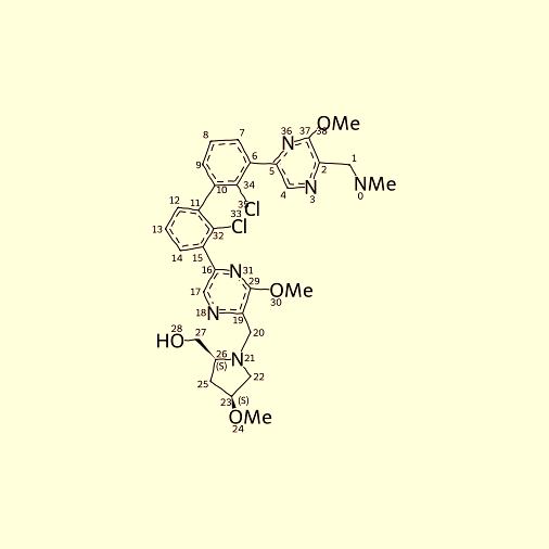 CNCc1ncc(-c2cccc(-c3cccc(-c4cnc(CN5C[C@@H](OC)C[C@H]5CO)c(OC)n4)c3Cl)c2Cl)nc1OC